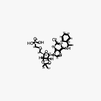 CC(Nc1nc(Cl)nc2c1ncn2[C@@H]1O[C@H](COCP(=O)(O)O)[C@H]2OC(C)(C)O[C@H]21)c1ccccc1